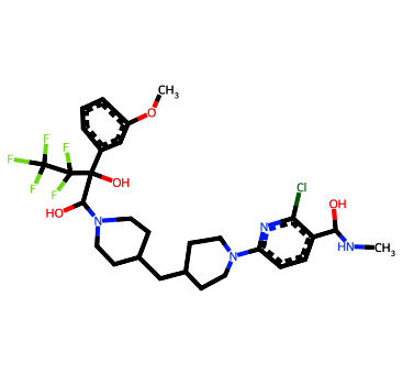 CNC(O)c1ccc(N2CCC(CC3CCN(C(O)C(O)(c4cccc(OC)c4)C(F)(F)C(F)(F)F)CC3)CC2)nc1Cl